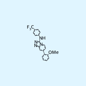 COc1ccccc1-c1ccn2c(Nc3ccc(C(F)(F)F)cc3)nnc2c1